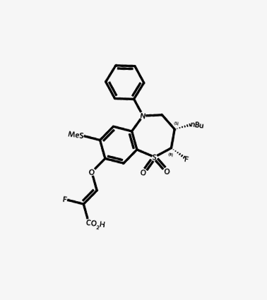 CCCC[C@H]1CN(c2ccccc2)c2cc(SC)c(OC=C(F)C(=O)O)cc2S(=O)(=O)[C@H]1F